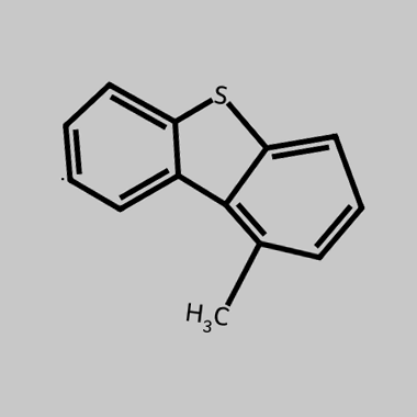 Cc1cccc2sc3cc[c]cc3c12